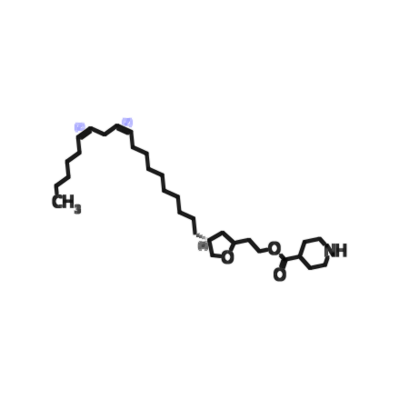 CCCCC/C=C\C/C=C\CCCCCCCCC[C@H]1COC(CCOC(=O)C2CCNCC2)C1